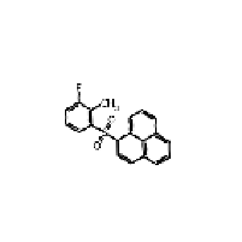 Cc1c(S(=O)(=O)C2C=Cc3cccc4cccc2c34)[c]ccc1F